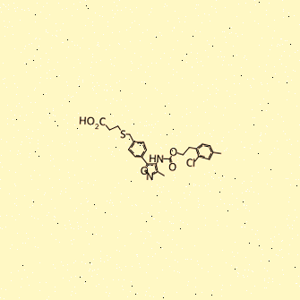 Cc1ccc(CCOC(=O)Nc2c(C)noc2-c2ccc(CSCCC(=O)O)cc2)c(Cl)c1